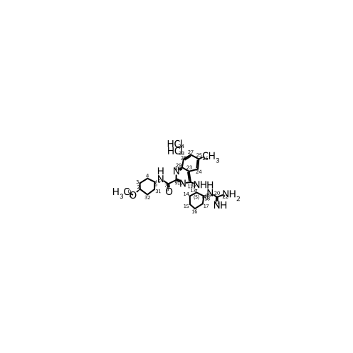 CO[C@H]1CC[C@H](NC(=O)c2nc(N[C@H]3CCCC[C@H]3NC(=N)N)c3cc(C)ccc3n2)CC1.Cl.Cl